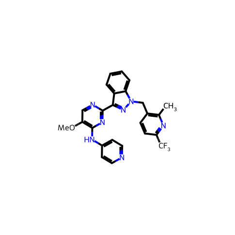 COc1cnc(-c2nn(Cc3ccc(C(F)(F)F)nc3C)c3ccccc23)nc1Nc1ccncc1